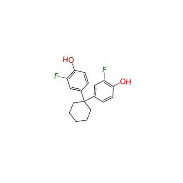 Oc1ccc(C2(c3ccc(O)c(F)c3)CCCCC2)cc1F